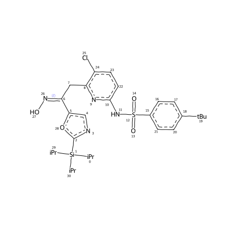 CC(C)[Si](c1ncc(/C(Cc2nc(NS(=O)(=O)c3ccc(C(C)(C)C)cc3)ccc2Cl)=N\O)o1)(C(C)C)C(C)C